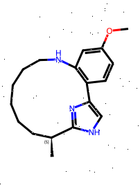 COc1ccc2c(c1)NCCCCCC[C@H](C)c1nc-2c[nH]1